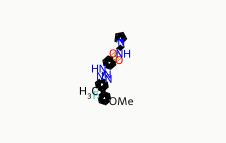 COc1ccc(F)c(-c2cc3nnc(Nc4ccc(S(=O)(=O)NCCN5CCCC5)cc4)nc3cc2C)c1